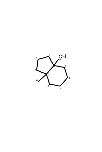 CC12CCCCC1(O)CCC2